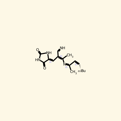 CC[C@@H](C)\C=C/C(C)=N\C(C)=C(C=N)/C=C1\NC(=O)NC1=O